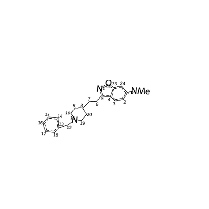 CNc1ccc2c(CCC3CCN(Cc4ccccc4)CC3)noc2c1